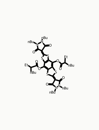 CCCCC(CC)C(=O)Oc1c2c(c(OC(=O)C(CC)CCCC)c3c1SC(=C1C(=O)N(CCCC)N(CCCC)C1=O)S3)SC(=C1C(=O)N(CCCC)N(CCCC)C1=O)S2